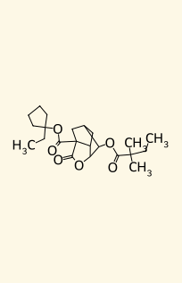 CCC1(OC(=O)C23CC4CC2C(OC3=O)C4OC(=O)C(C)(C)CC)CCCC1